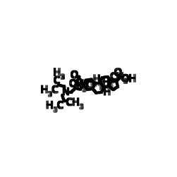 CC(C)CN(CC(C)C)CC(O)CC1(OC=O)CC[C@@]2(C)C(CC[C@@H]3[C@@H]2CC[C@]2(C)C(C(=O)O)CC[C@@H]32)C1